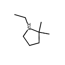 CC[SiH]1CCCC1(C)C